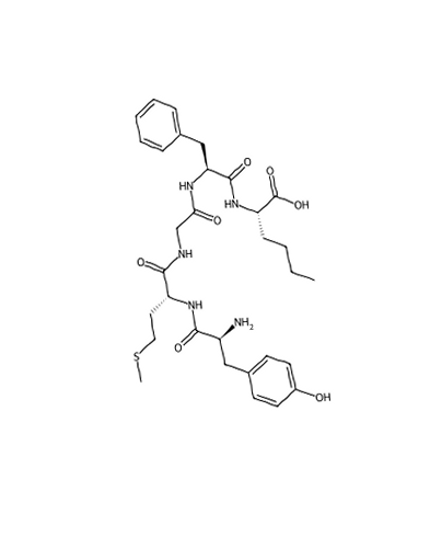 CCCC[C@H](NC(=O)[C@H](Cc1ccccc1)NC(=O)CNC(=O)[C@@H](CCSC)NC(=O)[C@@H](N)Cc1ccc(O)cc1)C(=O)O